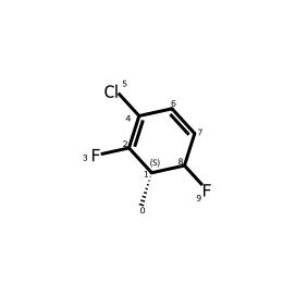 C[C@@H]1C(F)=C(Cl)C=CC1F